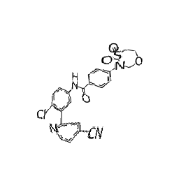 N#Cc1ccnc(-c2cc(NC(=O)c3ccc(N4COCCS4(=O)=O)cc3)ccc2Cl)c1